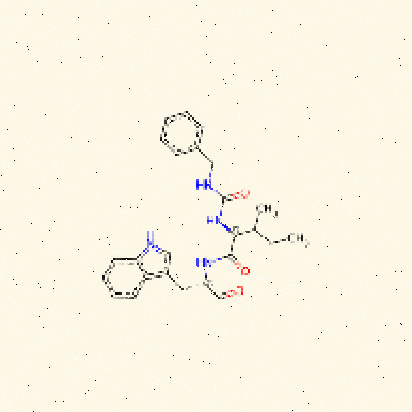 CCC(C)[C@H](NC(=O)NCc1ccccc1)C(=O)N[C@H](C=O)Cc1c[nH]c2ccccc12